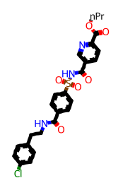 CCCOC(=O)c1ccc(C(=O)NS(=O)(=O)c2ccc(C(=O)NCCc3ccc(Cl)cc3)cc2)cn1